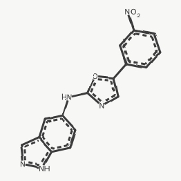 O=[N+]([O-])c1cccc(-c2cnc(Nc3ccc4[nH]ncc4c3)o2)c1